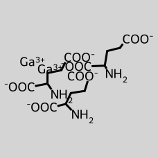 NC(CCC(=O)[O-])C(=O)[O-].NC(CCC(=O)[O-])C(=O)[O-].NC(CCC(=O)[O-])C(=O)[O-].[Ga+3].[Ga+3]